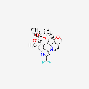 CCOC(=O)[C@@H](OC(C)(C)C)c1c(C)cc2nc(C(F)F)ccc2c1-c1ccc2c3c(ccnc13)CCO2